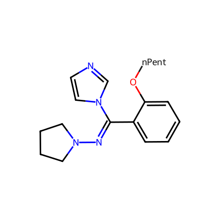 CCCCCOc1ccccc1C(=NN1CCCC1)n1ccnc1